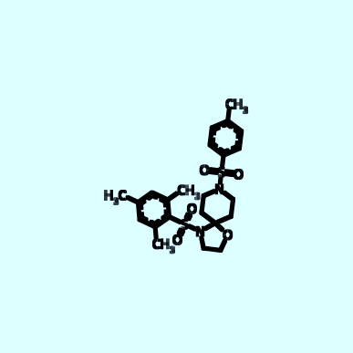 Cc1ccc(S(=O)(=O)N2CCC3(CC2)OCCN3S(=O)(=O)c2c(C)cc(C)cc2C)cc1